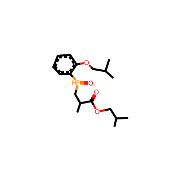 CC(C)COC(=O)C(C)C[PH](=O)c1ccccc1OCC(C)C